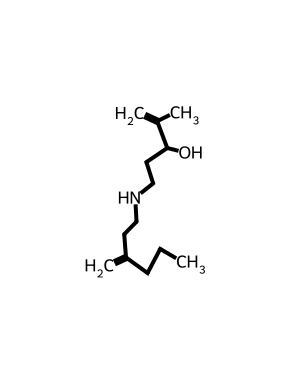 C=C(CCC)CCNCCC(O)C(=C)C